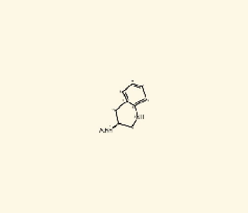 CC(=O)N[C@@H]1CNc2ccccc2C1